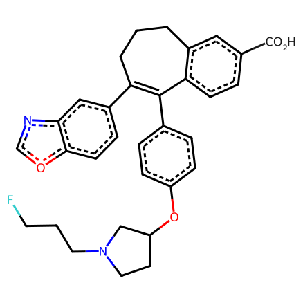 O=C(O)c1ccc2c(c1)CCCC(c1ccc3ocnc3c1)=C2c1ccc(OC2CCN(CCCF)C2)cc1